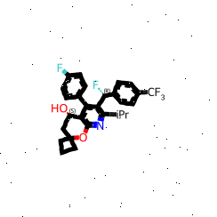 CC(C)c1nc2c(c(-c3ccc(F)cc3)c1[C@H](F)c1ccc(C(F)(F)F)cc1)[C@@H](O)CC1(CCC1)O2